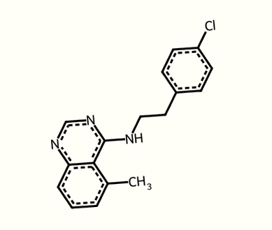 Cc1cccc2ncnc(NCCc3ccc(Cl)cc3)c12